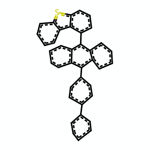 c1ccc(-c2ccc(-c3c4ccccc4c(-c4cccc5sc6ccccc6c45)c4ccccc34)cc2)cc1